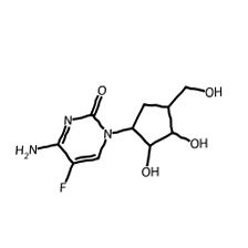 Nc1nc(=O)n(C2CC(CO)C(O)C2O)cc1F